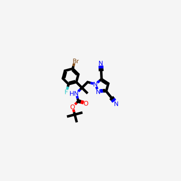 CC(C)(C)OC(=O)NC(C)(Cn1nc(C#N)cc1C#N)c1cc(Br)ccc1F